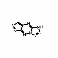 c1nnc2nn3nn[nH]c3nc1-2